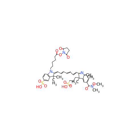 C=C1N=C(/C=C/C=C/C=C/C=C2/N(CCCCCC(=O)ON3C(=O)CCC3=O)c3ccc(S(=O)(=O)O)cc3C2(C)C)C(C)(CCCS(=O)(=O)O)/C1=C/C(=C\C)C(=O)N(C)OC